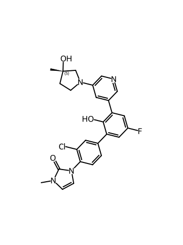 Cn1ccn(-c2ccc(-c3cc(F)cc(-c4cncc(N5CC[C@](C)(O)C5)c4)c3O)cc2Cl)c1=O